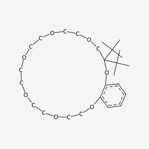 CC(C)(C)C1(C(C)(C)C)COCCOCCOCCOCCOCCOc2ccccc2O1